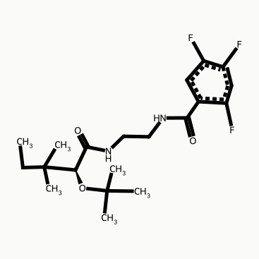 CCC(C)(C)[C@H](OC(C)(C)C)C(=O)NCCNC(=O)c1cc(F)c(F)cc1F